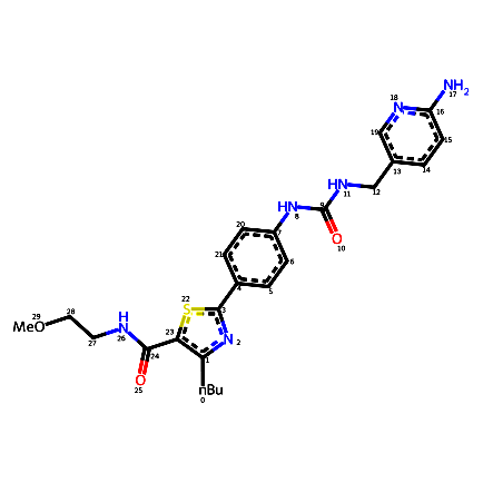 CCCCc1nc(-c2ccc(NC(=O)NCc3ccc(N)nc3)cc2)sc1C(=O)NCCOC